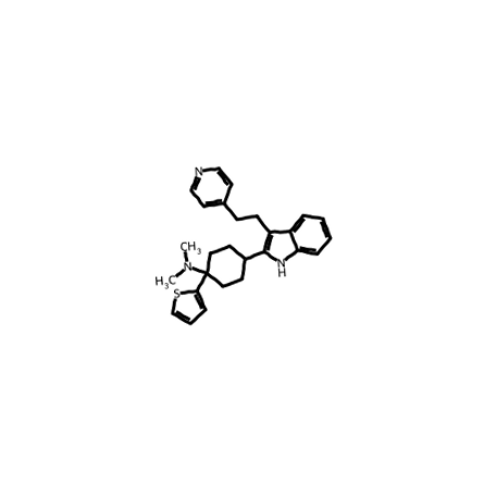 CN(C)C1(c2cccs2)CCC(c2[nH]c3ccccc3c2CCc2ccncc2)CC1